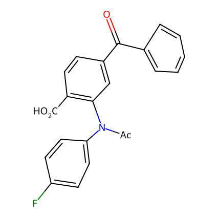 CC(=O)N(c1ccc(F)cc1)c1cc(C(=O)c2ccccc2)ccc1C(=O)O